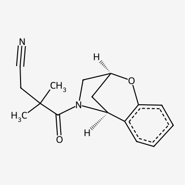 CC(C)(CC#N)C(=O)N1C[C@@H]2C[C@H]1c1ccccc1O2